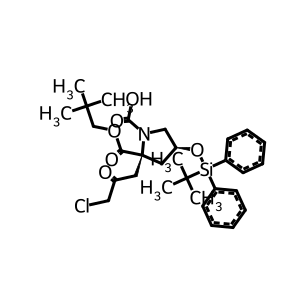 CC(C)(C)COC(=O)[C@@]1(CC(=O)CCl)C[C@H](O[Si](c2ccccc2)(c2ccccc2)C(C)(C)C)CN1C(=O)O